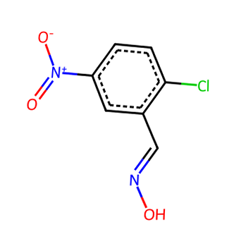 O=[N+]([O-])c1ccc(Cl)c(C=NO)c1